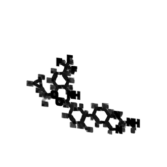 CNc1ncc2cc(-c3cc(C(=O)Nc4cc(C(F)(F)F)ccc4O[C@H](C)C4CC4)ccc3C)ccc2n1